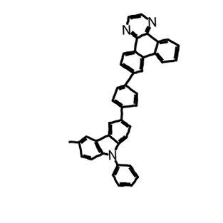 Cc1ccc2c(c1)c1cc(-c3ccc(-c4ccc5c(c4)c4ccccc4c4nccnc54)cc3)ccc1n2-c1ccccc1